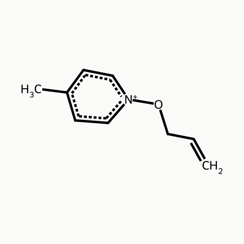 C=CCO[n+]1ccc(C)cc1